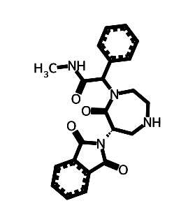 CNC(=O)C(c1ccccc1)N1CCNC[C@H](N2C(=O)c3ccccc3C2=O)C1=O